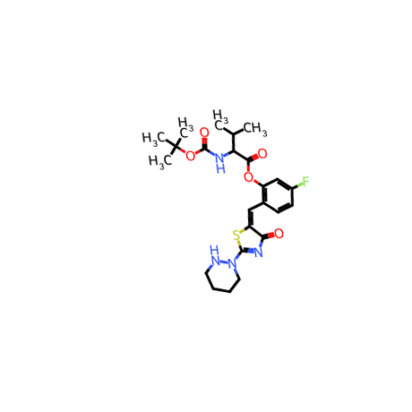 CC(C)C(NC(=O)OC(C)(C)C)C(=O)Oc1cc(F)ccc1C=C1SC(N2CCCCN2)=NC1=O